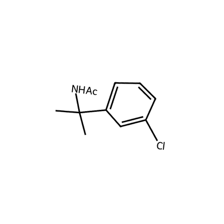 CC(=O)NC(C)(C)c1cccc(Cl)c1